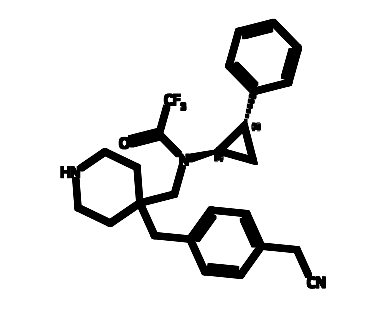 N#CCc1ccc(CC2(CN(C(=O)C(F)(F)F)[C@@H]3C[C@H]3c3ccccc3)CCNCC2)cc1